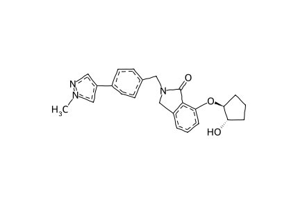 Cn1cc(-c2ccc(CN3Cc4cccc(O[C@H]5CCC[C@@H]5O)c4C3=O)cc2)cn1